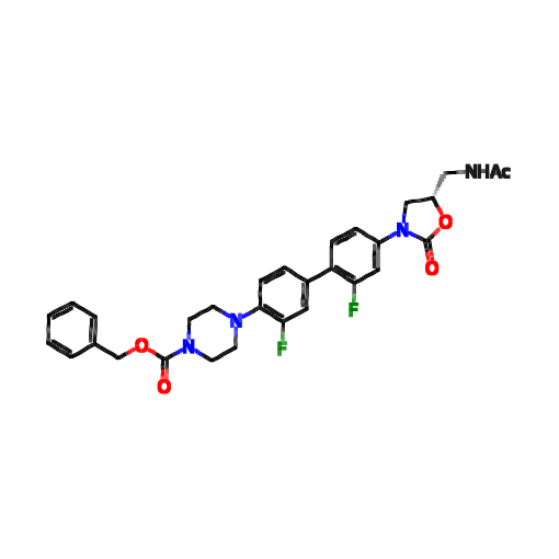 CC(=O)NC[C@H]1CN(c2ccc(-c3ccc(N4CCN(C(=O)OCc5ccccc5)CC4)c(F)c3)c(F)c2)C(=O)O1